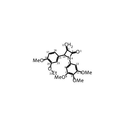 C=C1C(=O)N(c2cc(OC)c(OC)c(OC)c2)C1c1ccc(OC)c(OCC)c1